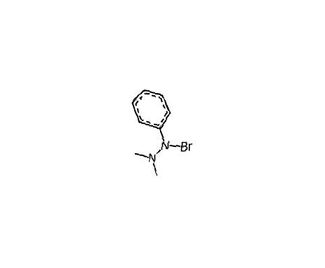 CN(C)N(Br)c1ccccc1